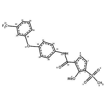 COc1c(S(C)(=O)=O)csc1C(=O)Nc1ccc(Oc2cccc(C(F)(F)F)c2)cc1